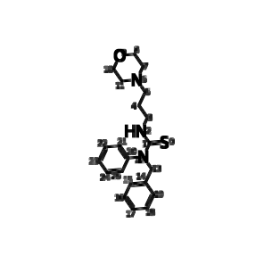 S=C(NCCCN1CCOCC1)N(Cc1ccccc1)c1ccccc1